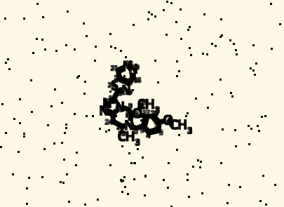 COc1ccc(CN2CCn3c(nnc3-c3nc4cnncc4s3)C[C@H]2C)c(OC)c1